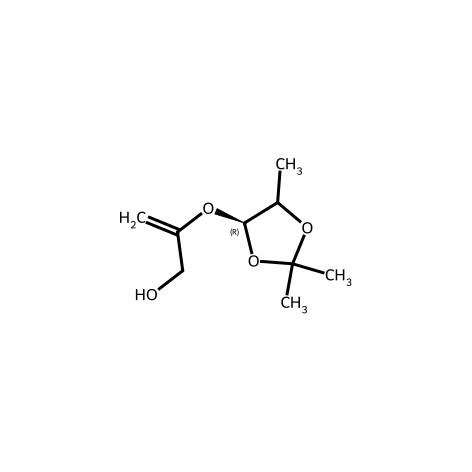 C=C(CO)O[C@@H]1OC(C)(C)OC1C